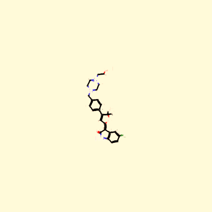 CC1(C)O/C(=C2/C(=O)Nc3ccc(Cl)cc32)C=C1c1ccc(CN2CCN(CCO)CC2)cc1